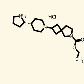 CCOC(=O)N1CCC2(CC(N3CCC([C@@H]4CCCN4)CC3)C2)C1.Cl